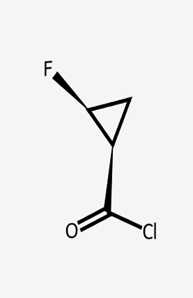 O=C(Cl)[C@@H]1C[C@@H]1F